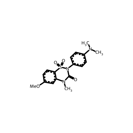 COc1ccc2c(c1)N(C)C(=O)N(c1ccc(N(C)C)cc1)S2(=O)=O